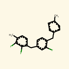 Cc1ccc(Cc2ccc(Cc3ccc(C)c(F)c3F)cc2F)cc1